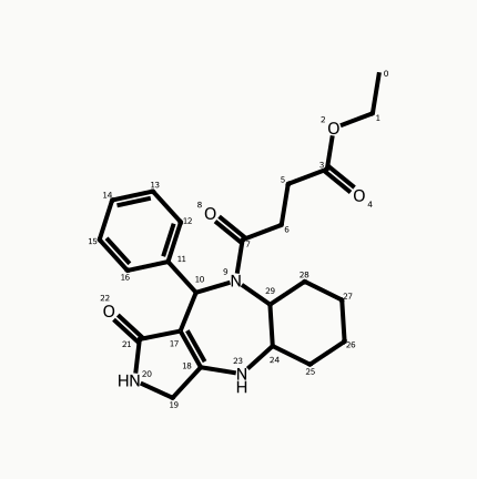 CCOC(=O)CCC(=O)N1C(c2ccccc2)C2=C(CNC2=O)NC2CCCCC21